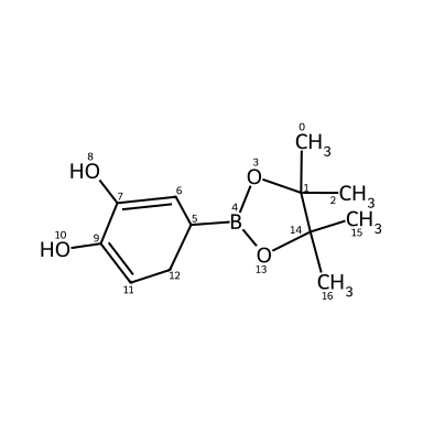 CC1(C)OB(C2C=C(O)C(O)=CC2)OC1(C)C